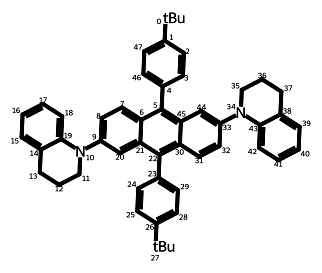 CC(C)(C)c1ccc(-c2c3ccc(N4CCCc5ccccc54)cc3c(-c3ccc(C(C)(C)C)cc3)c3ccc(N4CCCc5ccccc54)cc23)cc1